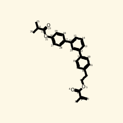 C=C(C)C(=O)OCCc1ccc(-c2cccc(-c3ccc(OC(=O)C(C)C)cc3)c2)cc1